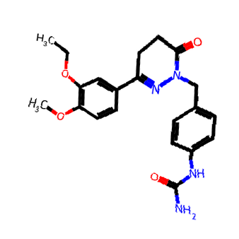 CCOc1cc(C2=NN(Cc3ccc(NC(N)=O)cc3)C(=O)CC2)ccc1OC